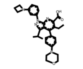 CCc1c(C(=O)O)nc2c(c(C(C)C)nn2-c2cccc(N3CCC3)c2)c1-c1ccc(N2CCOCC2)cc1